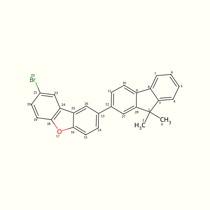 CC1(C)c2ccccc2-c2ccc(-c3ccc4oc5ccc(Br)cc5c4c3)cc21